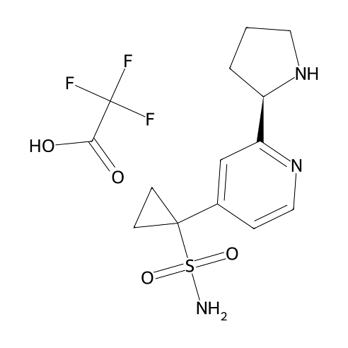 NS(=O)(=O)C1(c2ccnc([C@H]3CCCN3)c2)CC1.O=C(O)C(F)(F)F